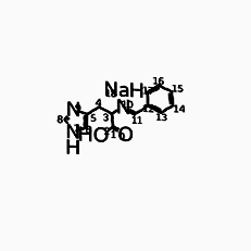 O=C(O)C(Cc1c[nH]cn1)/N=C/c1ccccc1.[NaH]